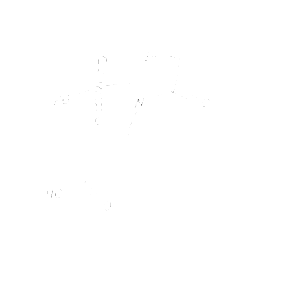 O=C(O)CCN1C(=O)CSC1S(=O)(=O)O